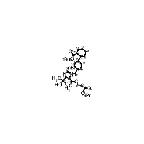 CCCCc1nc(C(C)(C)O)c(C(=O)OCOC(=O)OC(C)C)n1Cc1ccc(-c2ccccc2C(=O)OC(C)(C)C)cc1